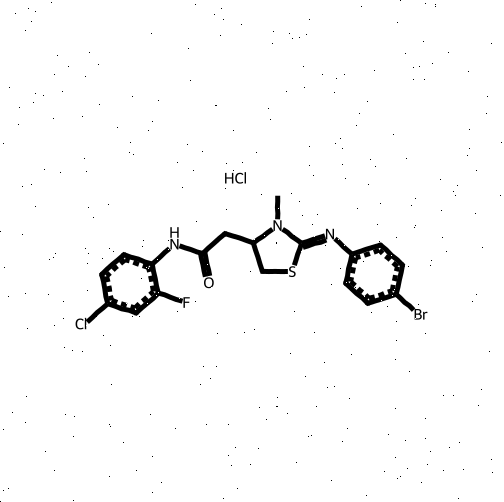 CN1/C(=N/c2ccc(Br)cc2)SCC1CC(=O)Nc1ccc(Cl)cc1F.Cl